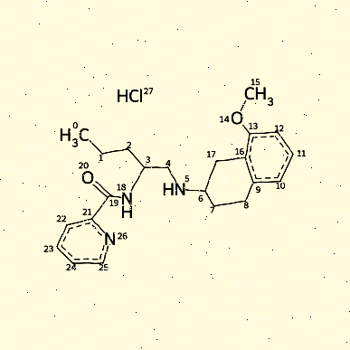 CCCC(CNC1CCc2cccc(OC)c2C1)NC(=O)c1ccccn1.Cl